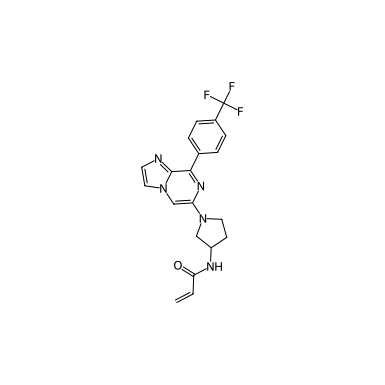 C=CC(=O)NC1CCN(c2cn3ccnc3c(-c3ccc(C(F)(F)F)cc3)n2)C1